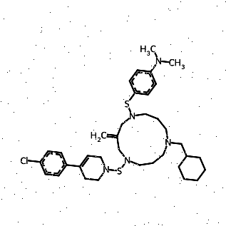 C=C1CN(Sc2ccc(N(C)C)cc2)CCCN(CC2CCCCC2)CCCN(SN2CC=C(c3ccc(Cl)cc3)CC2)C1